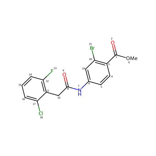 COC(=O)c1ccc(NC(=O)Cc2c(F)cccc2Cl)cc1Br